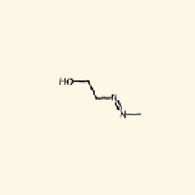 CN=NCCO